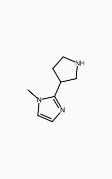 Cn1ccnc1C1CCNC1